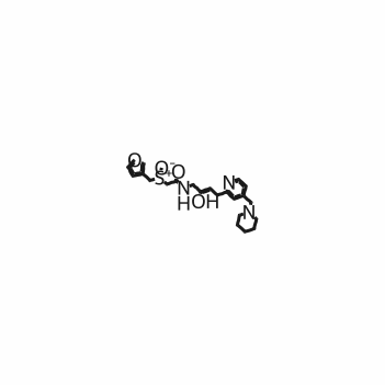 O=C(C[S+]([O-])Cc1ccoc1)NCC(O)=CCc1cc(CN2CCCCC2)ccn1